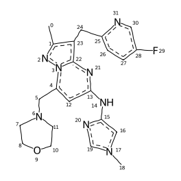 Cc1nn2c(CN3CCOCC3)cc(Nc3cn(C)cn3)nc2c1Cc1ccc(F)cn1